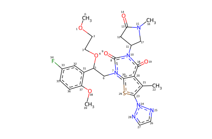 COCCOC(Cn1c(=O)n(C2CC(=O)N(C)C2)c(=O)c2c(C)c(-n3nccn3)sc21)c1cc(F)ccc1OC